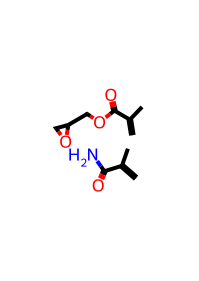 C=C(C)C(=O)OCC1CO1.C=C(C)C(N)=O